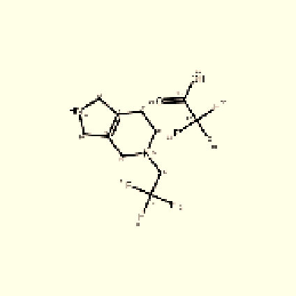 FC(F)(F)CN1CCC2=C(CNC2)C1.O=C(O)C(F)(F)F